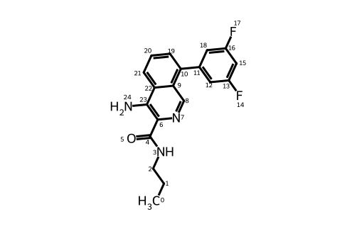 CCCNC(=O)c1ncc2c(-c3cc(F)cc(F)c3)cccc2c1N